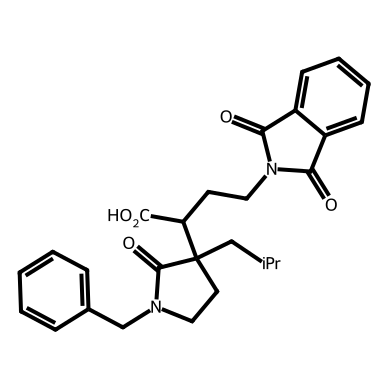 CC(C)CC1(C(CCN2C(=O)c3ccccc3C2=O)C(=O)O)CCN(Cc2ccccc2)C1=O